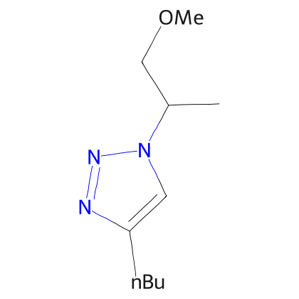 CCCCc1cn(C(C)COC)nn1